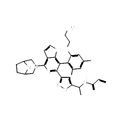 C=CC(=O)NC(C)c1cc(-c2nc(N3CC4CCC(C3)N4C(C)=O)c3ccsc3c2-c2c(F)cc(F)cc2OCCOC)n[nH]1